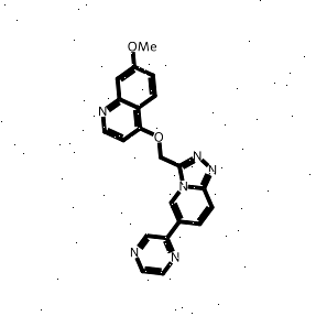 COc1ccc2c(OCc3nnc4ccc(-c5cnccn5)cn34)ccnc2c1